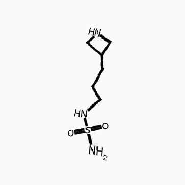 NS(=O)(=O)NCCCC1CNC1